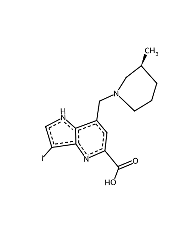 C[C@H]1CCCN(Cc2cc(C(=O)O)nc3c(I)c[nH]c23)C1